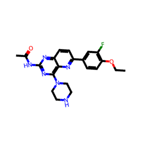 CCOc1ccc(-c2ccc3nc(NC(C)=O)nc(N4CCNCC4)c3n2)cc1F